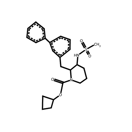 CS(=O)(=O)NC1CCCN(C(=O)OC2CCC2)C1Cc1cccc(-c2ccccc2)c1